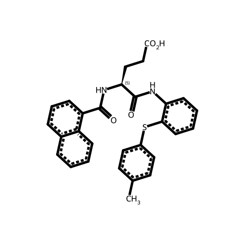 Cc1ccc(Sc2ccccc2NC(=O)[C@H](CCC(=O)O)NC(=O)c2cccc3ccccc23)cc1